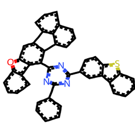 c1ccc(-c2nc(-c3ccc4sc5ccccc5c4c3)nc(-c3c4c(cc5oc6ccccc6c35)-c3cccc5cccc-4c35)n2)cc1